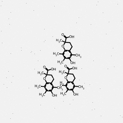 Cc1c(C)c2c(c(C)c1O)CCC(C)(C(=O)O)O2.Cc1c(C)c2c(c(C)c1O)CCC(C)(C(=O)O)O2.Cc1c(C)c2c(c(C)c1O)CCC(C)(C(=O)O)O2